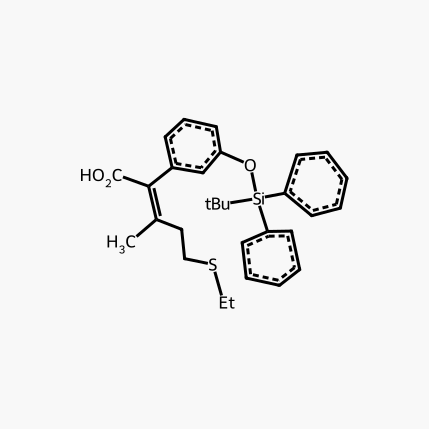 CCSCCC(C)=C(C(=O)O)c1cccc(O[Si](c2ccccc2)(c2ccccc2)C(C)(C)C)c1